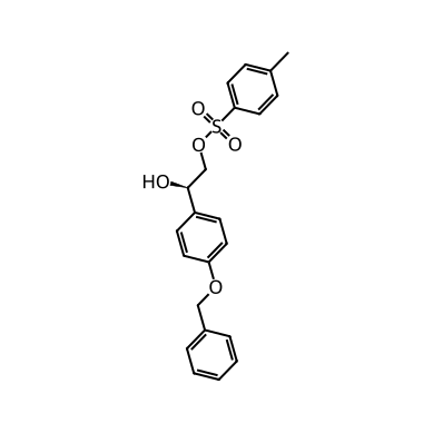 Cc1ccc(S(=O)(=O)OC[C@H](O)c2ccc(OCc3ccccc3)cc2)cc1